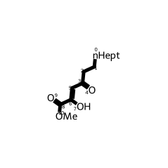 CCCCCCCCCC(=O)C=C(O)C(=O)OC